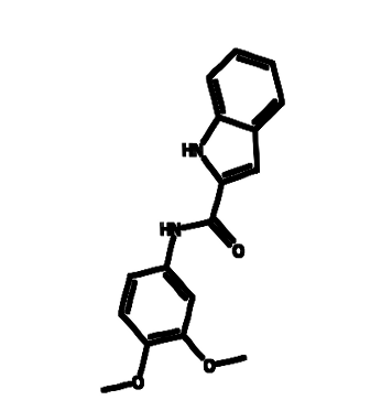 COc1ccc(NC(=O)c2cc3ccccc3[nH]2)cc1OC